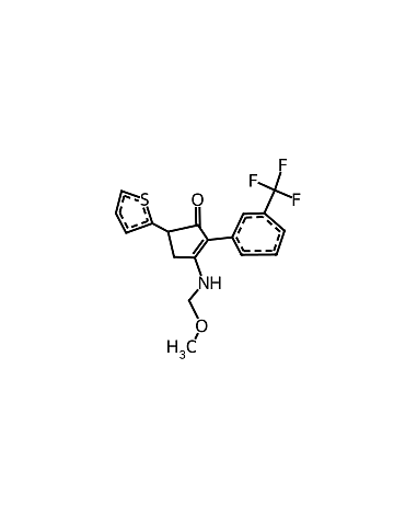 COCNC1=C(c2cccc(C(F)(F)F)c2)C(=O)C(c2cccs2)C1